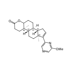 COc1cncc(C2=CC[C@H]3[C@@H]4CCC5OC(=O)CC[C@]5(C)[C@H]4CC[C@]23C)n1